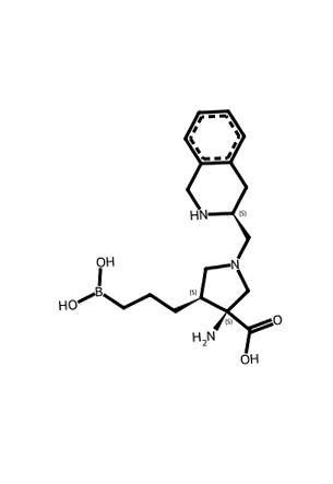 N[C@]1(C(=O)O)CN(C[C@@H]2Cc3ccccc3CN2)C[C@@H]1CCCB(O)O